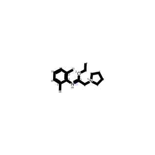 CCO/C(CN1CCCC1)=N\c1c(C)cccc1C